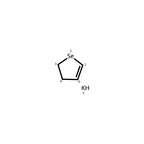 C1=C[Se]CC1.[KH]